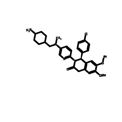 COc1cc2c(cc1OC(C)C)[C@H](c1ccc(Cl)cc1)N(c1ccc(N(C)CC3CCC(N)CC3)cn1)C(=O)C2